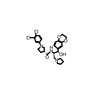 O=C(N[C@H](CN1CCCC1)[C@H](O)c1ccc2c(c1)OCCO2)[C@@H]1CCN(c2ccc(Cl)c(Cl)c2)C1